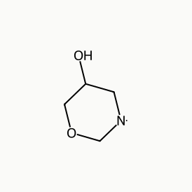 OC1C[N]COC1